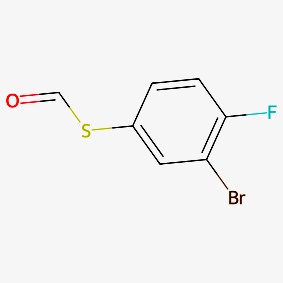 O=CSc1ccc(F)c(Br)c1